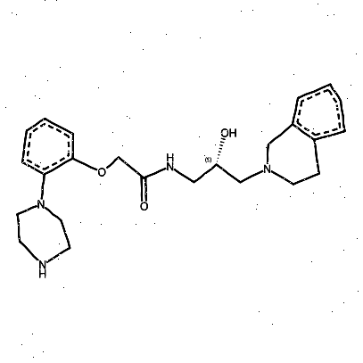 O=C(COc1ccccc1N1CCNCC1)NC[C@H](O)CN1CCc2ccccc2C1